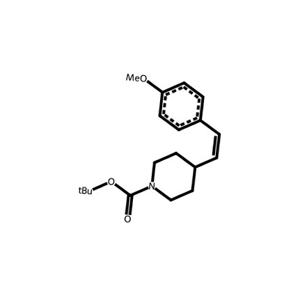 COc1ccc(/C=C\C2CCN(C(=O)OC(C)(C)C)CC2)cc1